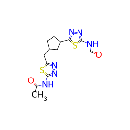 CC(=O)Nc1nnc(CC2CCC(c3nnc(NC=O)s3)C2)s1